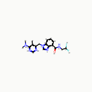 Cc1c(Cn2cnc3c(C(=O)NCC(F)F)cccc32)ncnc1N(C)C